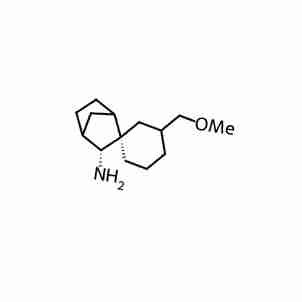 COCC1CCC[C@@]2(C1)C1CCC(C1)[C@H]2N